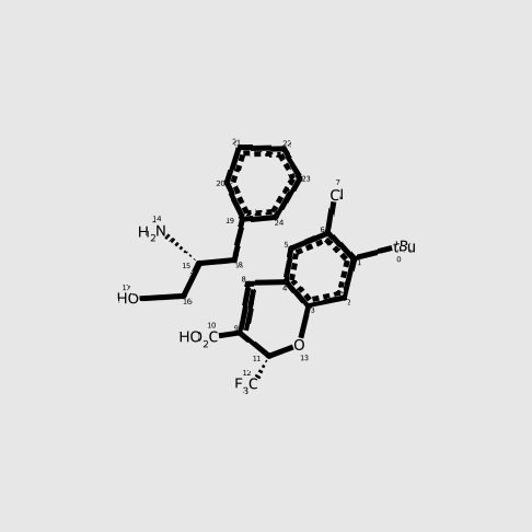 CC(C)(C)c1cc2c(cc1Cl)C=C(C(=O)O)[C@@H](C(F)(F)F)O2.N[C@@H](CO)Cc1ccccc1